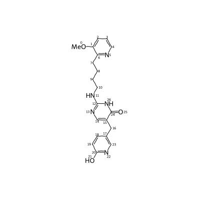 COc1cccnc1CCCCNc1ncc(Cc2ccc(O)nc2)c(=O)[nH]1